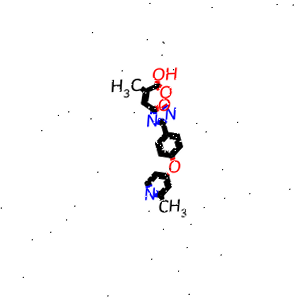 CC(=Cc1nc(-c2ccc(Oc3ccnc(C)c3)cc2)no1)C(=O)O